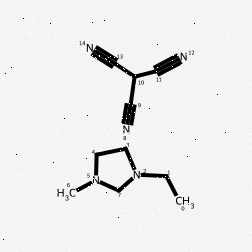 CCN1CCN(C)C1.N#CC(C#N)C#N